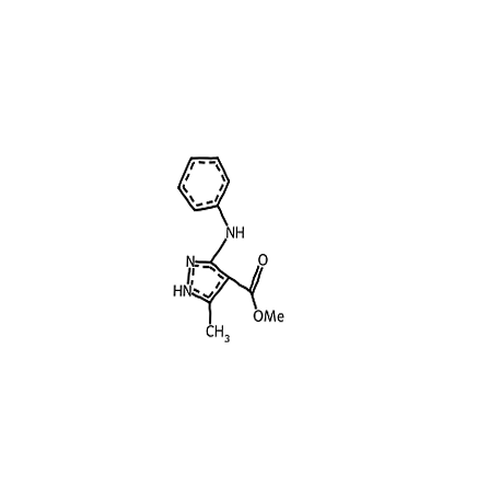 COC(=O)c1c(Nc2ccccc2)n[nH]c1C